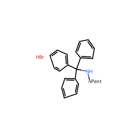 Br.CCCCCNC(c1ccccc1)(c1ccccc1)c1ccccc1